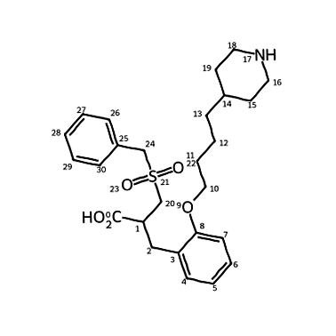 O=C(O)C(Cc1ccccc1OCCCCC1CCNCC1)CS(=O)(=O)Cc1ccccc1